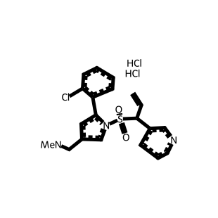 C=CC(c1cccnc1)S(=O)(=O)n1cc(CNC)cc1-c1ccccc1Cl.Cl.Cl